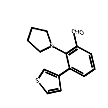 O=Cc1cccc(-c2ccsc2)c1N1CCCC1